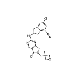 CC1(CN2Cc3nc(N[C@H]4Cc5cc(Cl)cc(C#N)c5C4)ncc3C2=O)COC1